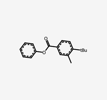 Cc1cc(C(=O)Oc2ccccc2)ccc1C(C)(C)C